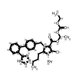 CCCCc1nc(Cl)c(C(=O)O[C@@H](C)OC(=O)OCC)n1Cc1ccc(-c2ccccc2-c2nnn[nH]2)cc1.[KH]